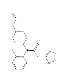 C=CCN1CCC(N(C(=O)Cc2cccs2)c2c(C)cccc2C)CC1